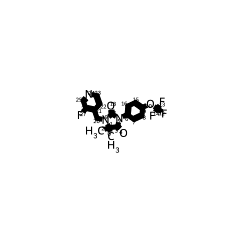 CC1(C)C(=O)N(c2ccc(OC(F)(F)F)cc2)C(=O)N1Cc1ccncc1F